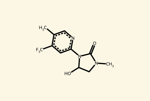 Cc1cnc(N2C(=O)N(C)CC2O)cc1C(F)(F)F